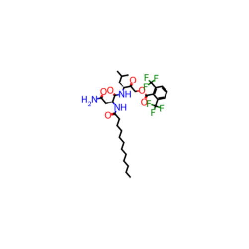 CCCCCCCCCCCC(=O)N[C@@H](CC(N)=O)C(=O)N[C@@H](CC(C)C)C(=O)COC(=O)c1c(C(F)(F)F)cccc1C(F)(F)F